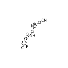 N#C[C@H]1C[C@@H](n2cc(C34CC(NC(=O)COc5ccc(Cl)c(F)c5)(C3)C4)nn2)C1